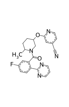 CC1CCC(Oc2cc(C#N)ccn2)CN1C(=O)c1cc(F)ccc1-c1ncccn1